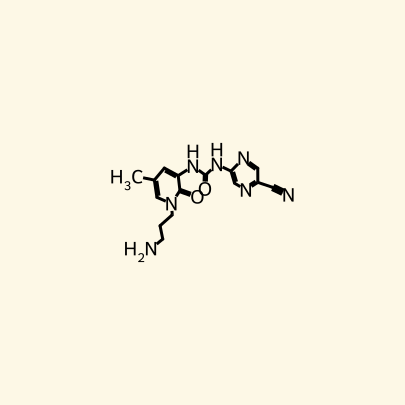 Cc1cc(NC(=O)Nc2cnc(C#N)cn2)c(=O)n(CCCN)c1